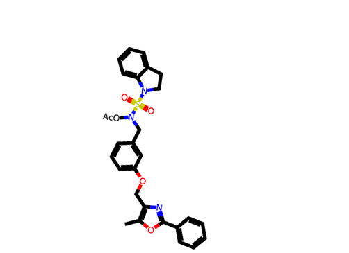 CC(=O)ON(Cc1cccc(OCc2nc(-c3ccccc3)oc2C)c1)S(=O)(=O)N1CCc2ccccc21